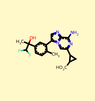 Cc1ccc(C(C)(O)C(F)F)cc1-c1cnc2c(N)nc(C3CC3C(=O)O)cn12